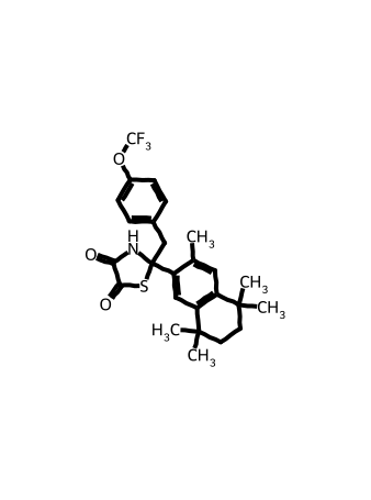 Cc1cc2c(cc1C1(Cc3ccc(OC(F)(F)F)cc3)NC(=O)C(=O)S1)C(C)(C)CCC2(C)C